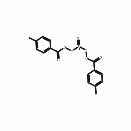 Cc1ccc(C(=O)OO[PH](=O)OOC(=O)c2ccc(C)cc2)cc1